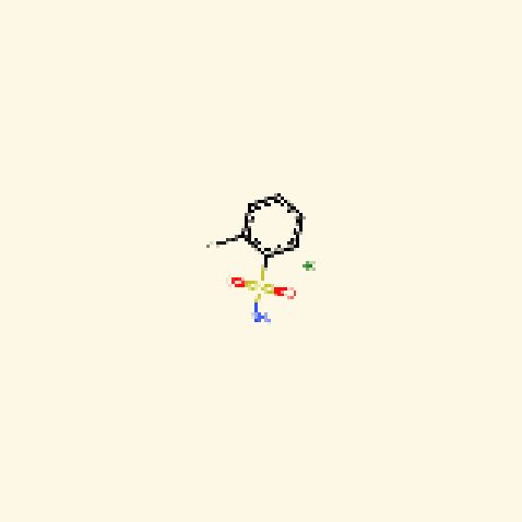 CC(C)c1ccccc1S(N)(=O)=O.Cl